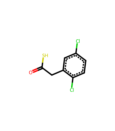 O=C(S)Cc1cc(Cl)ccc1Cl